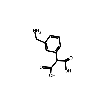 NCc1cccc(C(C(=O)O)C(=O)O)c1